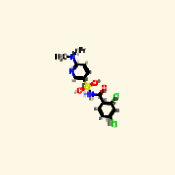 CCCN(C)c1ccc(S(=O)(=O)NC(=O)c2ccc(Cl)cc2Cl)cn1